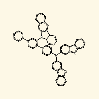 C1=CC2c3cc4ccccc4cc3N(c3cc(-c4ccccc4)ccc3-c3ccc(N(c4ccc5c(c4)oc4ccccc45)c4ccc5c(c4)oc4ccccc45)cc3)C2C=C1